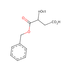 CCCCCCCCC(CC(=O)O)C(=O)OCc1ccccc1